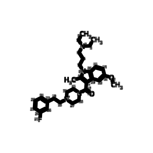 CCN(CC)CCCn1c(C)c(C(=O)N2CCN(CCc3cccc(F)c3)CC2)c2cc(OC)ccc21